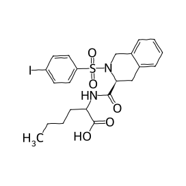 CCCCC(NC(=O)[C@@H]1Cc2ccccc2CN1S(=O)(=O)c1ccc(I)cc1)C(=O)O